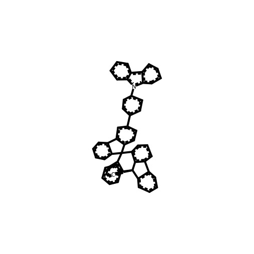 c1ccc(C23c4ccccc4-c4cccc(c42)C2(c4ccccc4-c4cc(-c5ccc(-n6c7ccccc7c7ccccc76)cc5)ccc42)c2ccccc23)cc1